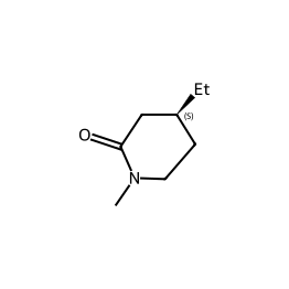 CC[C@H]1CCN(C)C(=O)C1